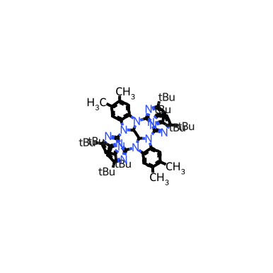 Cc1cc2c(cc1C)N(c1nc(C(C)(C)C)cc(C(C)(C)C)n1)C(C1N(c3nc(C(C)(C)C)cc(C(C)(C)C)n3)c3cc(C)c(C)cc3N1c1nc(C(C)(C)C)cc(C(C)(C)C)n1)N2c1nc(C(C)(C)C)cc(C(C)(C)C)n1